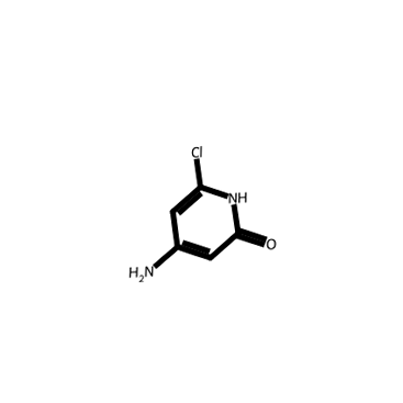 Nc1cc(Cl)[nH]c(=O)c1